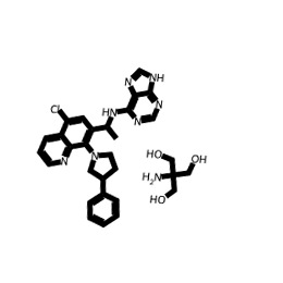 CC(Nc1ncnc2[nH]cnc12)c1cc(Cl)c2cccnc2c1N1CCC(c2ccccc2)C1.NC(CO)(CO)CO